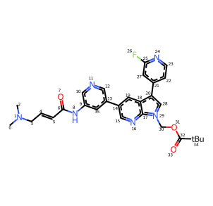 CN(C)CC=CC(=O)Nc1cncc(-c2cnc3c(c2)c(-c2ccnc(F)c2)cn3COC(=O)C(C)(C)C)c1